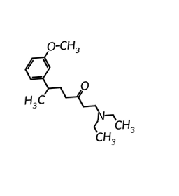 CCN(CC)CCC(=O)CCC(C)c1cccc(OC)c1